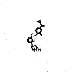 C=C(c1ccc(COc2cccc(N3CCNCC3)n2)c(C)c1)C1CC1